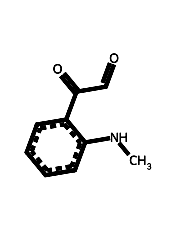 CNc1ccccc1C(=O)C=O